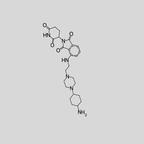 NC1CCC(N2CCN(CCNc3cccc4c3C(=O)N(C3CCC(=O)NC3=O)C4=O)CC2)CC1